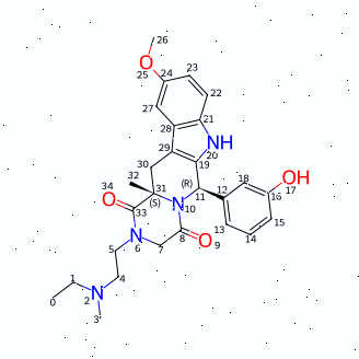 CCN(C)CCN1CC(=O)N2[C@H](c3cccc(O)c3)c3[nH]c4ccc(OC)cc4c3C[C@@]2(C)C1=O